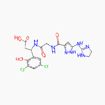 O=C(O)CC(NC(=O)CNC(=O)c1cc(NC2=NCCN2)[nH]n1)c1cc(Cl)cc(Cl)c1O